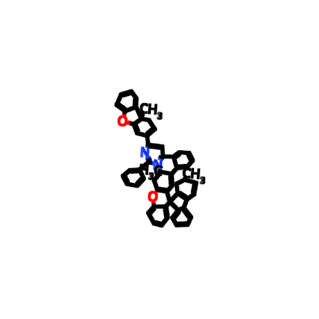 CC1C=CC2=C(C1)C1(C3=C(CC(C)C(c4ccccc4-c4cc(C5=CCC6(C)C(=C5)Oc5ccccc56)nc(-c5ccccc5)n4)=C3)Oc3ccccc31)c1ccccc12